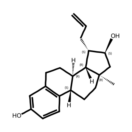 C=CC[C@H]1[C@H]2[C@@H]3CCc4cc(O)ccc4[C@H]3CC[C@]2(C)C[C@@H]1O